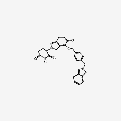 O=C1CCC(N2C=C3C=CC(=O)C(OCc4ccc(CN5C=C6CC=CC=C6C5)cc4)=C3C2)C(=O)N1